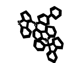 c1ccc(-c2ccc(N(c3cccc4sc5ccccc5c34)c3cccc4c3c3ccccc3n4C3(c4ccccc4)c4ccccc4-c4ccccc43)cc2)cc1